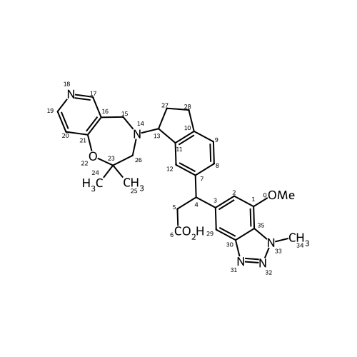 COc1cc(C(CC(=O)O)c2ccc3c(c2)C(N2Cc4cnccc4OC(C)(C)C2)CC3)cc2nnn(C)c12